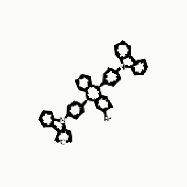 Brc1ccc2c(-c3ccc(-n4c5ccccc5c5ccccc54)cc3)c3ccccc3c(-c3ccc(-n4c5ccccc5c5ccccc54)cc3)c2c1